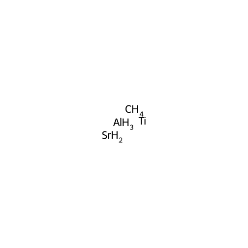 C.[AlH3].[SrH2].[Ti]